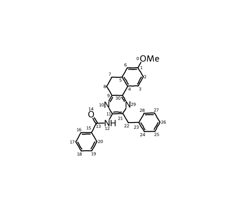 COc1ccc2c(c1)CCc1nc(NC(=O)c3ccccc3)c(Cc3ccccc3)nc1-2